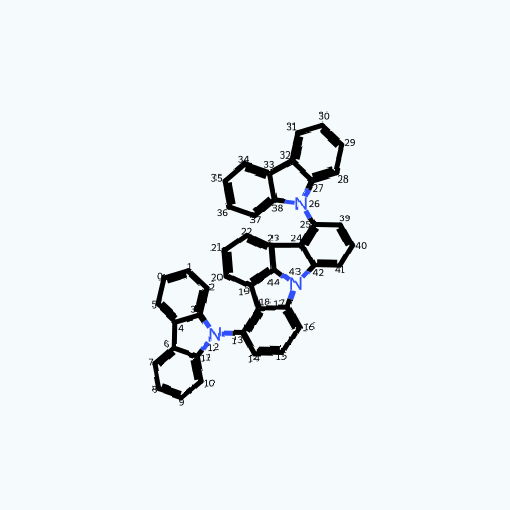 c1ccc2c(c1)c1ccccc1n2-c1cccc2c1c1cccc3c4c(-n5c6ccccc6c6ccccc65)cccc4n2c13